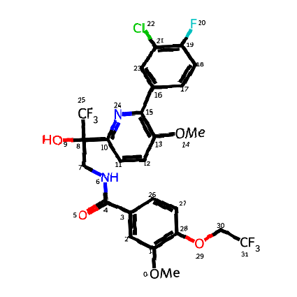 COc1cc(C(=O)NCC(O)(c2ccc(OC)c(-c3ccc(F)c(Cl)c3)n2)C(F)(F)F)ccc1OCC(F)(F)F